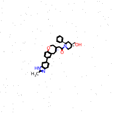 Cc1nc2ccc(-c3ccc4c(c3)C/C=C(/CC(=O)N3CC[C@H](CO)C[C@@H]3c3ccccc3)CCO4)cc2[nH]1